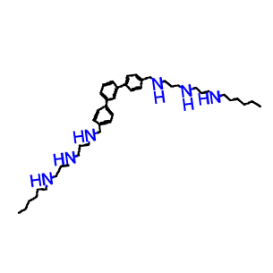 CCCCCCNCCCNCCCNCc1ccc(-c2cccc(-c3ccc(CNCCCNCCCNCCCCCC)cc3)c2)cc1